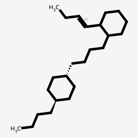 CC/C=C/C1CCCCC1CCCC[C@H]1CC[C@H](CCCC)CC1